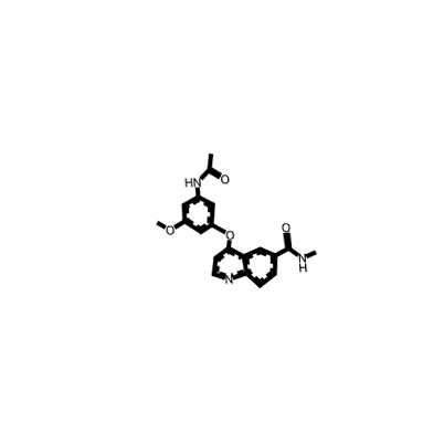 CNC(=O)c1ccc2nccc(Oc3cc(NC(C)=O)cc(OC)c3)c2c1